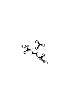 ClC(Cl)Cl.NC(=O)SCCSC(N)=O